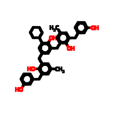 Cc1cc(Cc2cccc(O)c2)c(O)c(Cc2cc(Cc3cc(C)cc(Cc4cccc(O)c4)c3O)c(O)c(C3CCCCC3)c2)c1